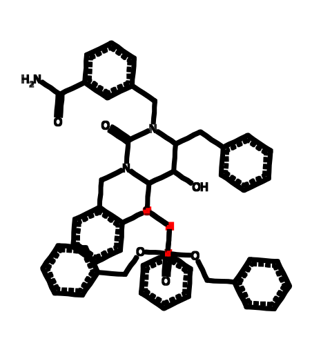 NC(=O)c1cccc(CN2C(=O)N(Cc3ccccc3OCP(=O)(OCc3ccccc3)OCc3ccccc3)C(CCc3ccccc3)C(O)C2Cc2ccccc2)c1